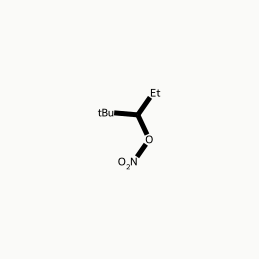 CCC(O[N+](=O)[O-])C(C)(C)C